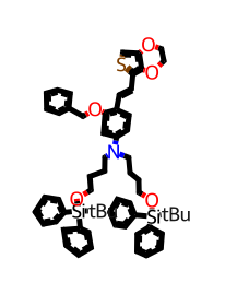 CC(C)(C)[Si](OCCCCN(CCCCO[Si](c1ccccc1)(c1ccccc1)C(C)(C)C)c1ccc(C=Cc2scc3c2OCCO3)c(OCc2ccccc2)c1)(c1ccccc1)c1ccccc1